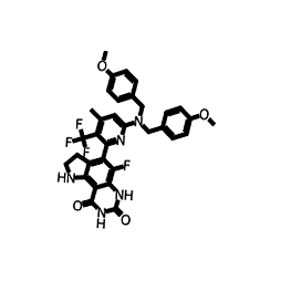 COc1ccc(CN(Cc2ccc(OC)cc2)c2cc(C)c(C(F)(F)F)c(-c3c4c(c5c(=O)[nH]c(=O)[nH]c5c3F)NCC4)n2)cc1